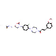 CC(=S)NC[C@H]1CN(c2ccc(N3CCN(C(=O)C=Cc4ccc5c(c4)OCO5)CC3)c(F)c2)C(=O)O1